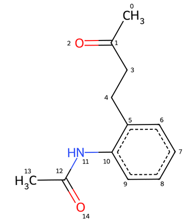 CC(=O)CCc1ccccc1NC(C)=O